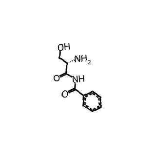 N[C@@H](CO)C(=O)NC(=O)c1ccccc1